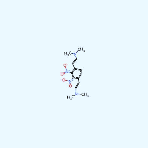 CN(C)/C=C/c1ccc(/C=C/N(C)C)c([N+](=O)[O-])c1[N+](=O)[O-]